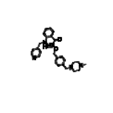 CN1CCN(Cc2ccc(CONC(=O)c3ccccc3NCc3ccncc3)cc2)CC1